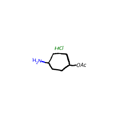 CC(=O)OC1CCC(N)CC1.Cl